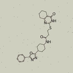 O=C(CCSc1nc2c(c(=O)[nH]1)CCCC2)NC1CCC(c2nnc(-c3ccccc3)o2)CC1